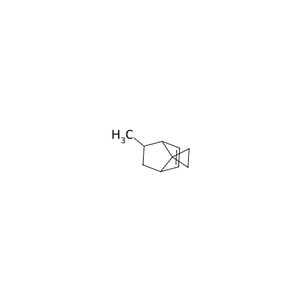 CC1CC2C=CC1C21CC1